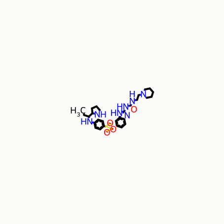 CCC(Nc1ccc(S(=O)(=O)Oc2ccc3nc(NC(=O)NCCN4CCCCC4)[nH]c3c2)cc1)C1CCCN1